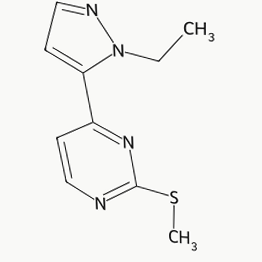 CCn1nccc1-c1ccnc(SC)n1